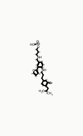 CC(C)Cc1ccc(CCCNc2ccc(CNCCCO[PH](=O)O)cc2-c2ccco2)cc1Br